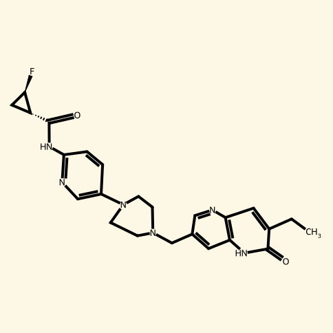 CCc1cc2ncc(CN3CCN(c4ccc(NC(=O)[C@@H]5C[C@H]5F)nc4)CC3)cc2[nH]c1=O